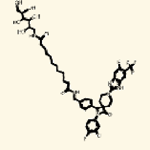 O=C(CCCCCCCCCCC(=O)NCC(O)C(O)C(O)C(O)CO)NCc1ccc(C2N(c3ccc(F)c(Cl)c3)C(=O)C23CCN(c2nc4cc(F)c(C(F)(F)F)cc4[nH]2)CC3)cc1